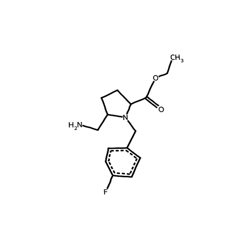 CCOC(=O)C1CCC(CN)N1Cc1ccc(F)cc1